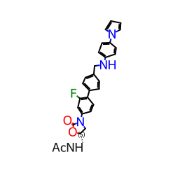 CC(=O)NC[C@H]1CN(c2ccc(-c3ccc(CNc4ccc(-n5cccc5)cc4)cc3)c(F)c2)C(=O)O1